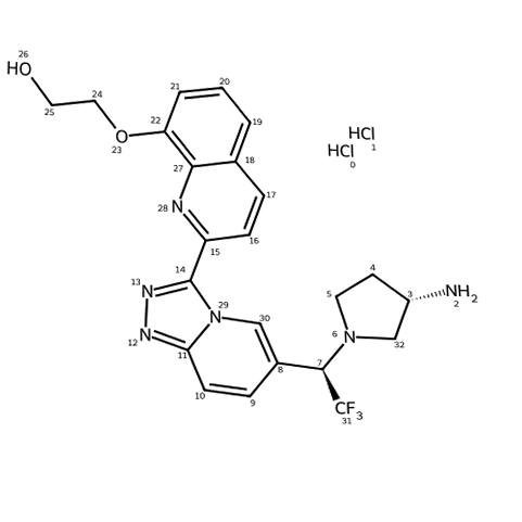 Cl.Cl.N[C@H]1CCN([C@H](c2ccc3nnc(-c4ccc5cccc(OCCO)c5n4)n3c2)C(F)(F)F)C1